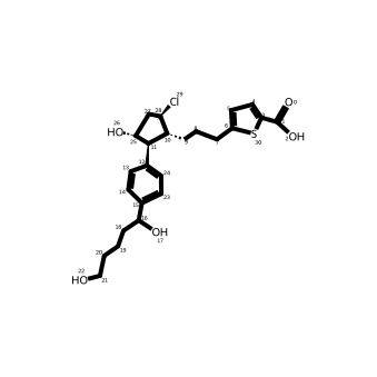 O=C(O)c1ccc(CCC[C@@H]2[C@@H](c3ccc(C(O)CCCCO)cc3)[C@H](O)C[C@H]2Cl)s1